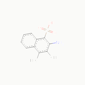 Cc1c(N)c(S(=O)(=O)O)c2ccccc2c1C